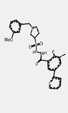 COc1cccc(CN2CCC(S(=O)(=O)NNC(=O)c3cc(-c4ccccc4)cc(C)c3F)C2)c1